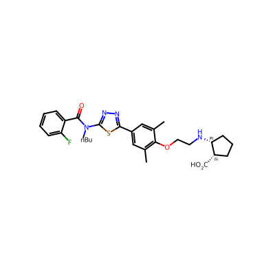 CCCCN(C(=O)c1ccccc1F)c1nnc(-c2cc(C)c(OCCN[C@@H]3CCC[C@@H]3C(=O)O)c(C)c2)s1